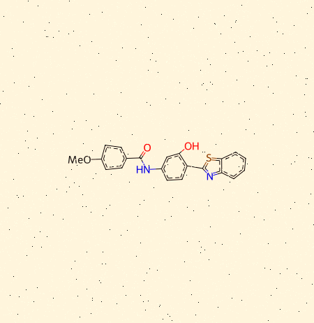 COc1ccc(C(=O)Nc2ccc(-c3nc4ccccc4s3)c(O)c2)cc1